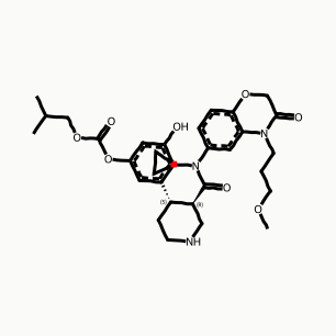 COCCCN1C(=O)COc2ccc(N(C(=O)[C@H]3CNCC[C@@H]3c3cc(O)cc(OC(=O)OCC(C)C)c3)C3CC3)cc21